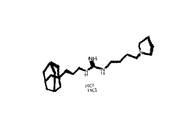 Cl.Cl.N=C(NCCCCN1CCCC1)NCCCC12CC3CC(CC(C3)C1)C2